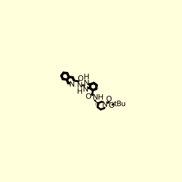 CC(C)(C)OC(=O)N1CCC[C@@H](CNC(=O)c2cccc3[nH]c(NC(=O)c4cc5ccccc5cn4)nc23)C1